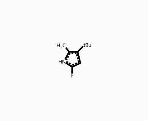 Cc1[nH]c(F)cc1C(C)(C)C